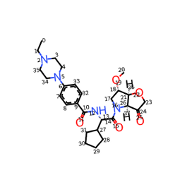 CCN1CCN(c2ccc(C(=O)N[C@H](C(=O)N3C[C@H](OC)[C@H]4OCC(=O)[C@H]43)C3CCCC3)cc2)CC1